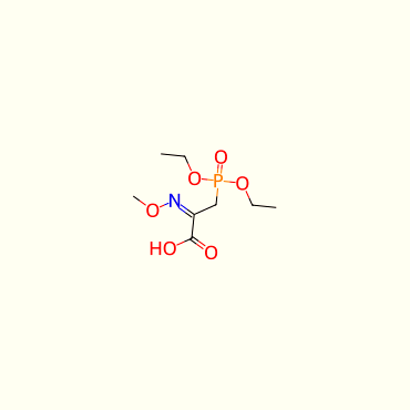 CCOP(=O)(CC(=NOC)C(=O)O)OCC